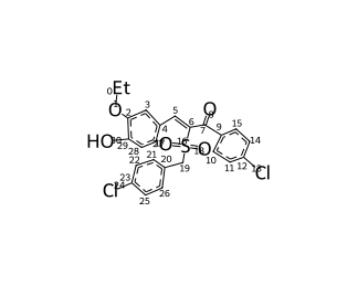 CCOc1cc(C=C(C(=O)c2ccc(Cl)cc2)S(=O)(=O)Cc2ccc(Cl)cc2)ccc1O